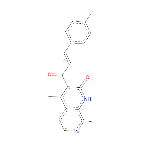 Cc1ccc(/C=C/C(=O)c2c(C)c3ccnc(C)c3[nH]c2=O)cc1